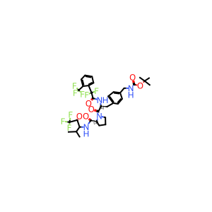 CC(C)C(NC(=O)[C@@H]1CCCN1C(=O)[C@H](Cc1ccc(CNC(=O)OC(C)(C)C)cc1)NC(=O)C(F)(F)c1ccccc1C(F)(F)F)C(=O)C(F)(F)F